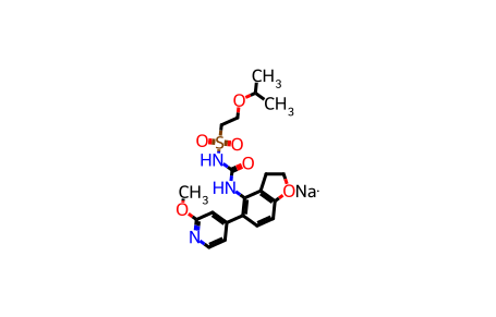 COc1cc(-c2ccc3c(c2NC(=O)NS(=O)(=O)CCOC(C)C)CCO3)ccn1.[Na]